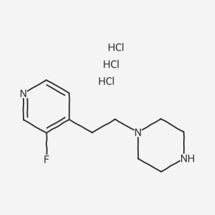 Cl.Cl.Cl.Fc1cnccc1CCN1CCNCC1